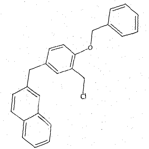 ClCc1cc(Cc2ccc3ccccc3c2)ccc1OCc1ccccc1